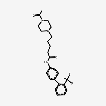 CC(=O)N1CCN(CCCCC(=O)Nc2ccc(-c3ccccc3C(F)(F)F)cc2)CC1